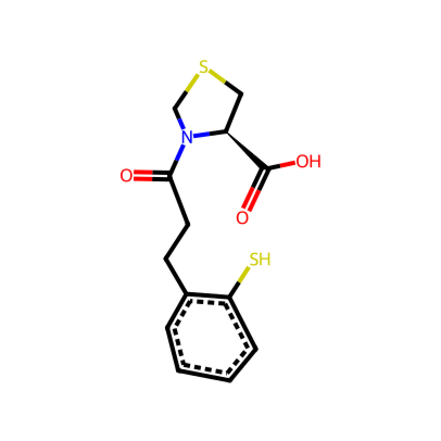 O=C(O)[C@@H]1CSCN1C(=O)CCc1ccccc1S